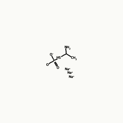 CC(N)[SH-]P(=O)([O-])[O-].[Na+].[Na+].[Na+]